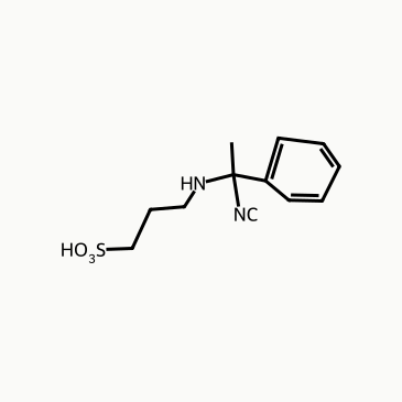 [C-]#[N+]C(C)(NCCCS(=O)(=O)O)c1ccccc1